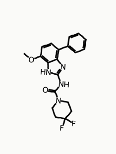 COc1ccc(-c2ccccc2)c2nc(NC(=O)N3CCC(F)(F)CC3)[nH]c12